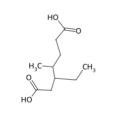 CCC(CC(=O)O)C(C)CCC(=O)O